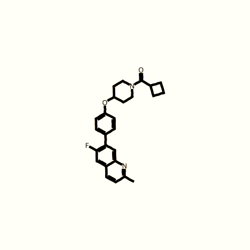 Cc1ccc2cc(F)c(-c3ccc(OC4CCN(C(=O)C5CCC5)CC4)cc3)cc2n1